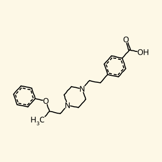 CC(CN1CCN(CCc2ccc(C(=O)O)cc2)CC1)Oc1ccccc1